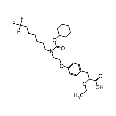 CCOC(Cc1ccc(OCCN(CCCCCCC(F)(F)F)C(=O)OC2CCCCC2)cc1)C(=O)O